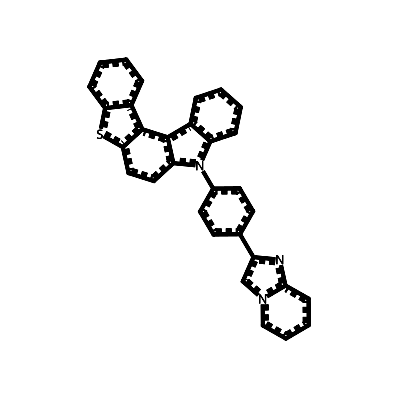 c1ccc2c(c1)sc1ccc3c(c4ccccc4n3-c3ccc(-c4cn5ccccc5n4)cc3)c12